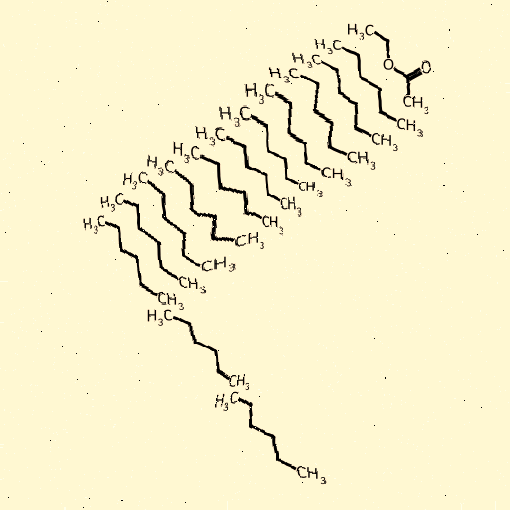 CCCCCC.CCCCCC.CCCCCC.CCCCCC.CCCCCC.CCCCCC.CCCCCC.CCCCCC.CCCCCC.CCCCCC.CCCCCC.CCCCCC.CCCCCC.CCOC(C)=O